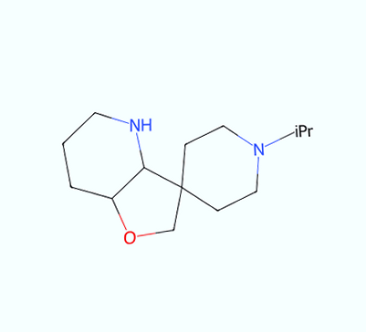 CC(C)N1CCC2(CC1)COC1CCCNC12